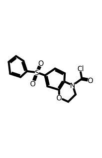 O=C(Cl)N1CCOc2cc(S(=O)(=O)c3ccccc3)ccc21